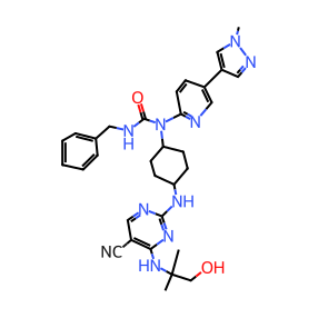 Cn1cc(-c2ccc(N(C(=O)NCc3ccccc3)C3CCC(Nc4ncc(C#N)c(NC(C)(C)CO)n4)CC3)nc2)cn1